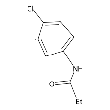 CCC(=O)Nc1c[c]c(Cl)cc1